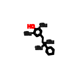 CC(C)(C)c1cc(CC[Si](c2ccccc2)(C(C)(C)C)C(C)(C)C)cc(C(C)(C)C)c1O